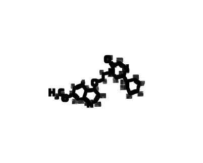 COc1ccc2c(OCCn3cc(-c4ccccc4)ncc3=O)ccnc2c1